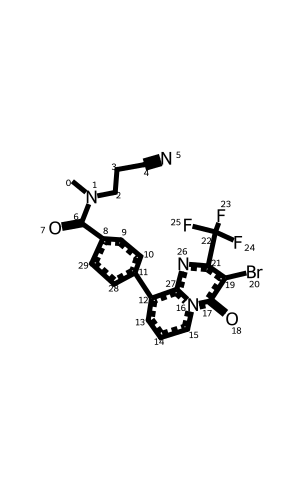 CN(CCC#N)C(=O)c1ccc(-c2cccn3c(=O)c(Br)c(C(F)(F)F)nc23)cc1